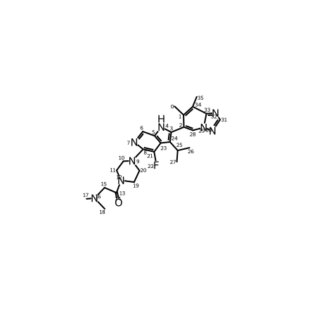 Cc1c(-c2[nH]c3cnc(N4CCN(C(=O)CN(C)C)CC4)c(F)c3c2C(C)C)cn2ncnc2c1C